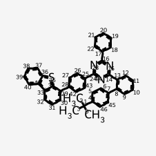 CC(C)(C)c1ccc(-c2ccccc2-c2nc(-c3ccccc3)nc(-c3ccc(-c4cccc5c4sc4ccccc45)cc3)n2)cc1